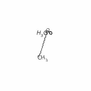 CCCCCCCCCCCCCCCCCCC[S+](C)C(=O)c1ccccc1